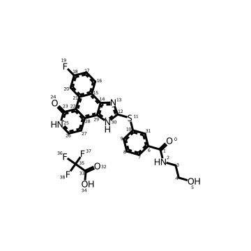 O=C(NCCO)c1cccc(Sc2nc3c4ccc(F)cc4c4c(=O)[nH]ccc4c3[nH]2)c1.O=C(O)C(F)(F)F